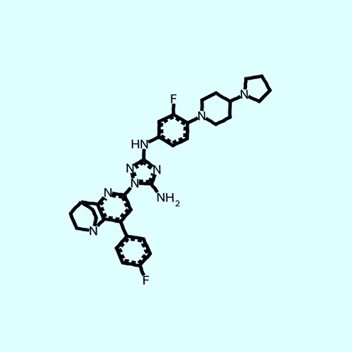 Nc1nc(Nc2ccc(N3CCC(N4CCCC4)CC3)c(F)c2)nn1-c1cc(-c2ccc(F)cc2)c2c(n1)C1CCN2CC1